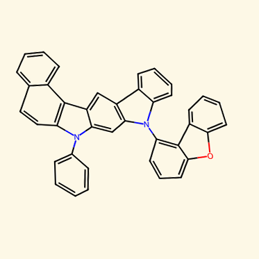 c1ccc(-n2c3cc4c(cc3c3c5ccccc5ccc32)c2ccccc2n4-c2cccc3oc4ccccc4c23)cc1